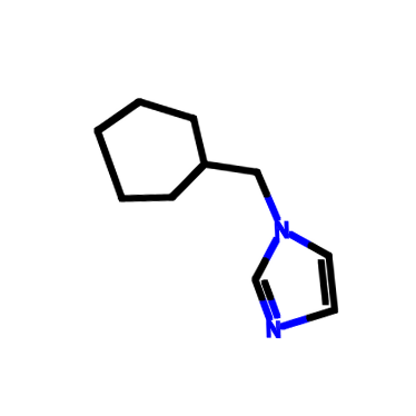 c1cn(CC2CCCCC2)cn1